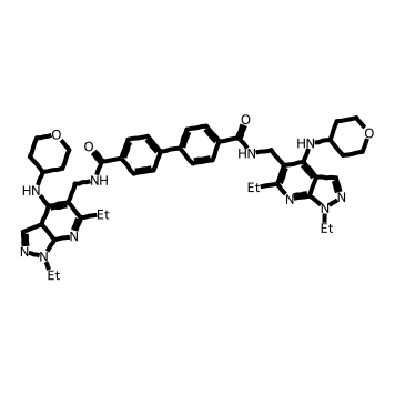 CCC1=NC2C(C=NN2CC)C(NC2CCOCC2)=C1CNC(=O)c1ccc(-c2ccc(C(=O)NCc3c(CC)nc4c(cnn4CC)c3NC3CCOCC3)cc2)cc1